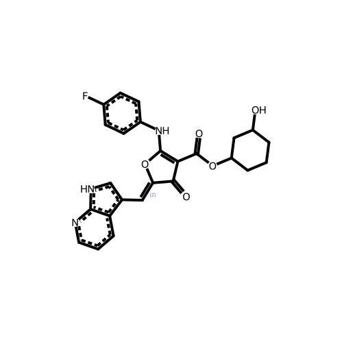 O=C(OC1CCCC(O)C1)C1=C(Nc2ccc(F)cc2)O/C(=C\c2c[nH]c3ncccc23)C1=O